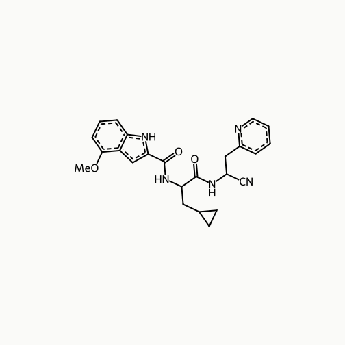 COc1cccc2[nH]c(C(=O)NC(CC3CC3)C(=O)NC(C#N)Cc3ccccn3)cc12